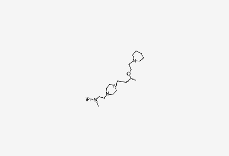 CC(CCN1CCN(CCN(C)C(C)C)CC1)OCCN1CCCCC1